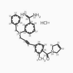 Cc1cc(C#CCN(Cc2ccccc2)c2cccc(C(=N)N)c2)ccc1C(=O)N1CC=CC1.Cl